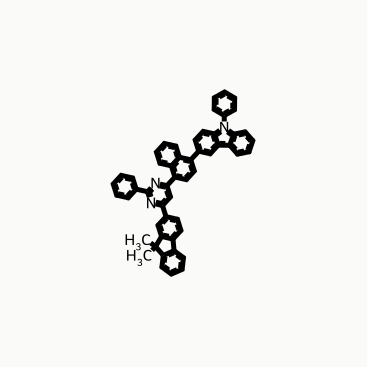 CC1(C)c2ccccc2-c2ccc(-c3cc(-c4ccc(-c5ccc6c(c5)c5ccccc5n6-c5ccccc5)c5ccccc45)nc(-c4ccccc4)n3)cc21